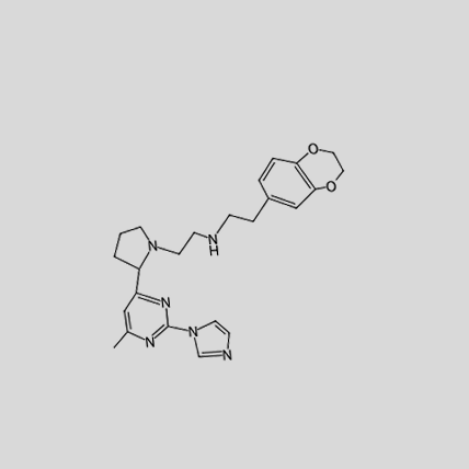 Cc1cc(C2CCCN2CCNCCc2ccc3c(c2)OCCO3)nc(-n2ccnc2)n1